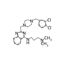 CN(C)CCCNc1nc(CN2CCN(Cc3ccc(Cl)c(Cl)c3)CC2)nc2ccccc12